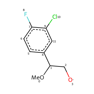 COC(C[O])c1ccc(F)c(Cl)c1